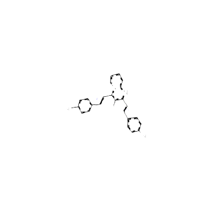 Oc1c(/C=C/c2ccc(Br)cc2)nc2cccc[n+]2c1/C=C/c1ccc(Br)cc1